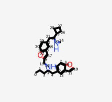 CCCC(Cc1ccc2occc2c1)NCc1cc2cc(CC(NC)C3CCC3)ccc2o1